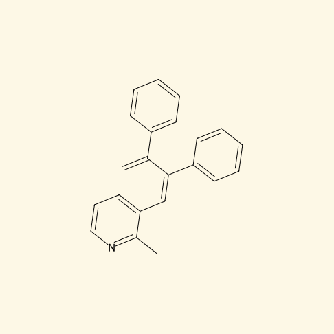 C=C(/C(=C\c1cccnc1C)c1ccccc1)c1ccccc1